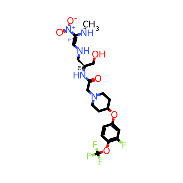 CN/C(=C\NC[C@@H](CO)NC(=O)CN1CCC(Oc2ccc(OC(F)(F)F)c(F)c2)CC1)[N+](=O)[O-]